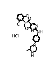 CC1CN(c2ccc(Nc3ncc4c(n3)OCN(c3c(Cl)cccc3Cl)C4=O)cc2)CCN1.Cl